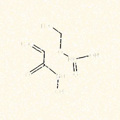 C=CC(=O)NC.CCO[PH](=O)O